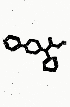 CC(=O)SC(=O)C(c1ccccc1)N1CCN(c2ccncc2)CC1